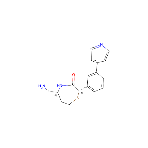 NC[C@H]1CCS[C@@H](c2cccc(-c3ccncc3)c2)C(=O)N1